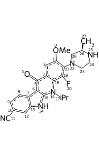 COc1cc2c(=O)c3c4ccc(C#N)cc4[nH]c3n(C(C)C)c2c(F)c1N1CCN[C@H](C)C1